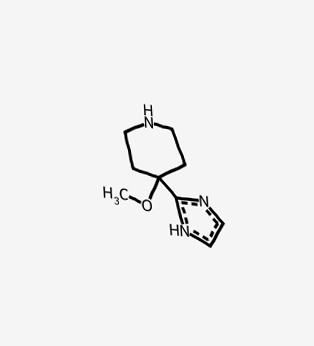 COC1(c2ncc[nH]2)CCNCC1